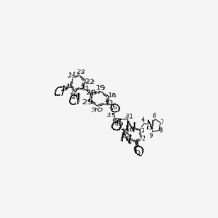 O=c1cc(CN2CCCC2)n2c(n1)O[C@H](COc1ccc(-c3cccc(Cl)c3Cl)cc1)C2